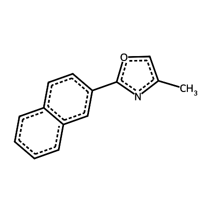 Cc1coc(-c2ccc3ccccc3c2)n1